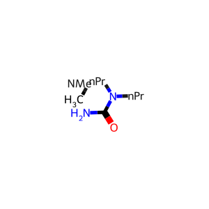 CCCN(CCC)C(N)=O.CNC